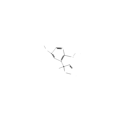 CBc1cnc(NC)c(C(Br)(BC)C=O)c1